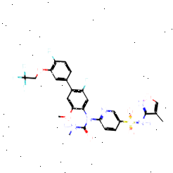 CNC(=O)N(c1ccc(S(=O)(=O)Nc2nocc2C)cn1)c1cc(F)c(-c2ccc(F)c(OCC(F)(F)F)c2)cc1OC